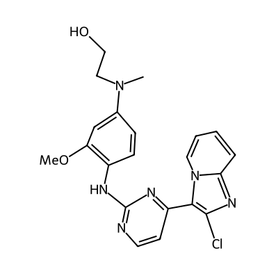 COc1cc(N(C)CCO)ccc1Nc1nccc(-c2c(Cl)nc3ccccn23)n1